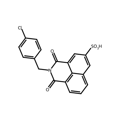 O=C1c2cccc3cc(S(=O)(=O)O)cc(c23)C(=O)N1Cc1ccc(Cl)cc1